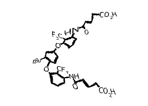 CC(C)(C)c1cc(Oc2cccc(NC(=O)C=CCC(=O)O)c2C(F)(F)F)ccc1Oc1cccc(NC(=O)C=CCC(=O)O)c1C(F)(F)F